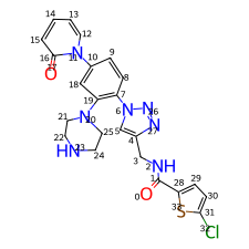 O=C(NCc1cn(-c2ccc(-n3ccccc3=O)cc2N2CCNCC2)nn1)c1ccc(Cl)s1